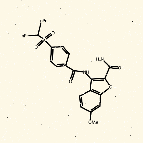 CCCC(CCC)S(=O)(=O)c1ccc(C(=O)Nc2c(C(N)=O)oc3cc(OC)ccc23)cc1